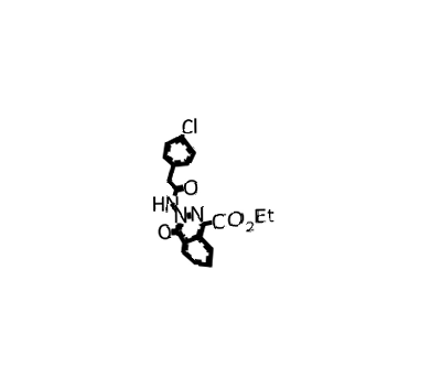 CCOC(=O)c1nn(NC(=O)Cc2ccc(Cl)cc2)c(=O)c2ccccc12